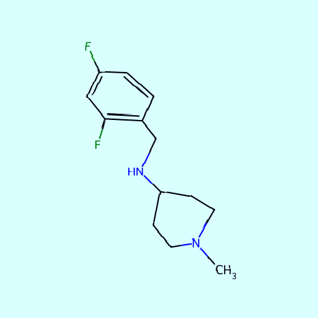 CN1CCC(NCc2ccc(F)cc2F)CC1